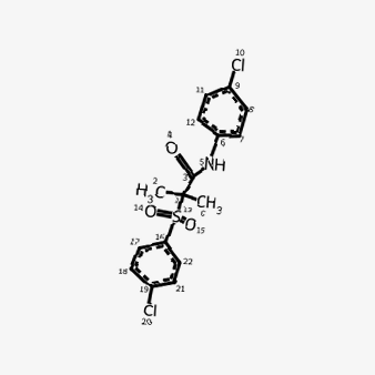 CC(C)(C(=O)Nc1ccc(Cl)cc1)S(=O)(=O)c1ccc(Cl)cc1